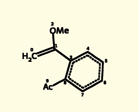 C=C(OC)c1ccccc1C(C)=O